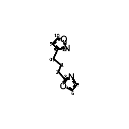 [CH](CCc1ncco1)c1ccon1